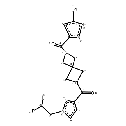 CC(C)c1cc(C(=O)N2CC3(C2)CN(C(=O)c2ccn(CC(F)F)n2)C3)n[nH]1